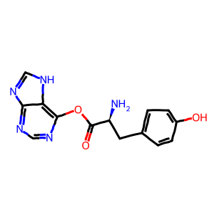 N[C@@H](Cc1ccc(O)cc1)C(=O)Oc1ncnc2nc[nH]c12